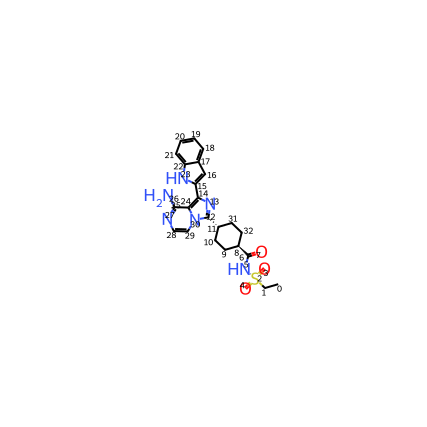 CCS(=O)(=O)NC(=O)[C@H]1CC[C@H](c2nc(-c3cc4ccccc4[nH]3)c3c(N)nccn32)CC1